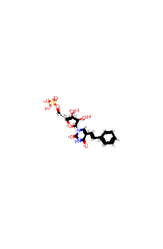 O=c1[nH]c(=O)n([C@@H]2O[C@H](COP(=O)(O)O)[C@@H](O)[C@H]2O)cc1C=Cc1ccccc1